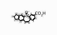 O=C(O)c1ccc2c(c1)[S+]([O-])c1cc3c(cc1C=C2)CCC3